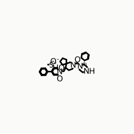 C[S+]([O-])c1cn(CC2(O)CCN(C(=O)N3CCNC[C@H]3C3C=CC=CC3)CC23CCCC3)c(=O)cc1-c1ccccc1